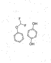 FC(F)Oc1ccccc1.Oc1ccc(O)cc1